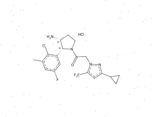 Cc1cc(F)cc([C@@H]2[C@H](N)CCN2C(=O)Cn2nc(C3CC3)cc2C(F)(F)F)c1Cl.Cl